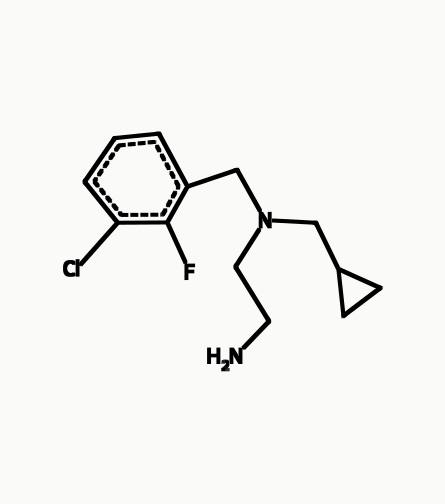 NCCN(Cc1cccc(Cl)c1F)CC1CC1